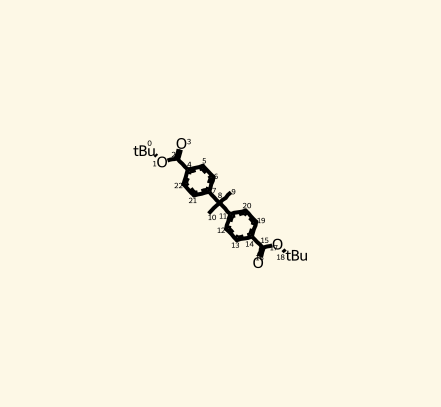 CC(C)(C)OC(=O)c1ccc(C(C)(C)c2ccc(C(=O)OC(C)(C)C)cc2)cc1